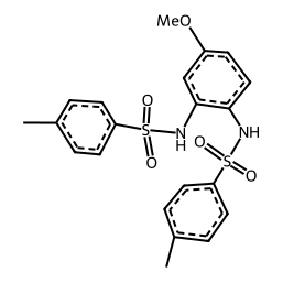 COc1ccc(NS(=O)(=O)c2ccc(C)cc2)c(NS(=O)(=O)c2ccc(C)cc2)c1